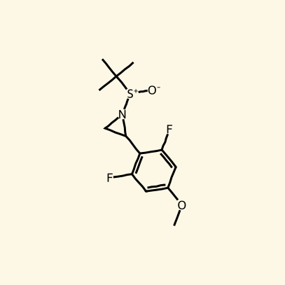 COc1cc(F)c(C2CN2[S+]([O-])C(C)(C)C)c(F)c1